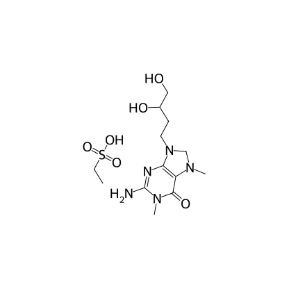 CCS(=O)(=O)O.CN1CN(CCC(O)CO)c2nc(N)n(C)c(=O)c21